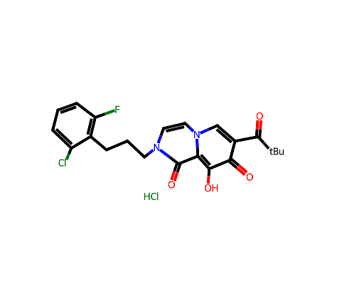 CC(C)(C)C(=O)c1cn2ccn(CCCc3c(F)cccc3Cl)c(=O)c2c(O)c1=O.Cl